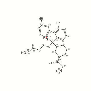 CCc1cccc(-c2c(F)cccc2C(O)(CCCNC(=O)O)C2CCCN(C(=O)CN)C2)c1